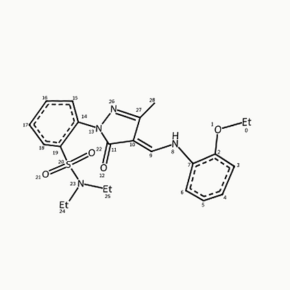 CCOc1ccccc1NC=C1C(=O)N(c2ccccc2S(=O)(=O)N(CC)CC)N=C1C